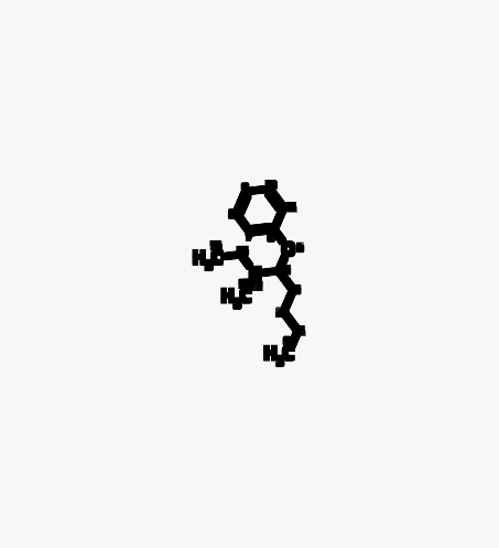 CCCCC(Oc1ccccc1)N(C)CC